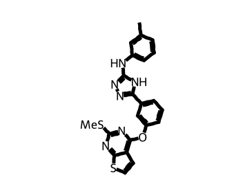 CSc1nc(Oc2cccc(-c3nnc(Nc4cccc(C)c4)[nH]3)c2)c2ccsc2n1